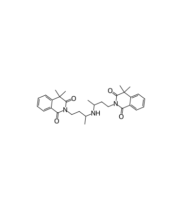 CC(CCN1C(=O)c2ccccc2C(C)(C)C1=O)NC(C)CCN1C(=O)c2ccccc2C(C)(C)C1=O